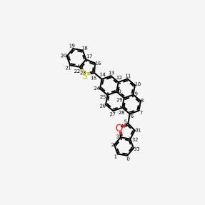 c1ccc2oc(-c3ccc4ccc5cc(-c6cc7ccccc7s6)cc6ccc3c4c56)cc2c1